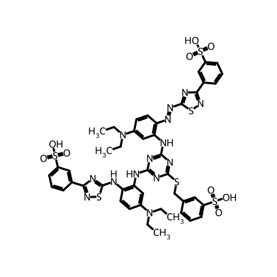 CCN(CC)c1ccc(/N=N/c2nc(-c3cccc(S(=O)(=O)O)c3)ns2)c(Nc2nc(Nc3cc(N(CC)CC)ccc3Nc3nc(-c4cccc(S(=O)(=O)O)c4)ns3)nc(SCc3cccc(S(=O)(=O)O)c3)n2)c1